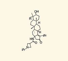 CC(C)C1=C2[C@H]3CC[C@@H]4[C@@]5(C)CC[C@H](O)C(C)(C)[C@@H]5CC[C@@]4(C)[C@]3(C)CC[C@@]2(NC(=O)C2CN(C(C)C)C2)CC1=O